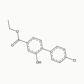 CCOC(=O)c1ccc(-c2ccc(Cl)cc2)c(O)c1